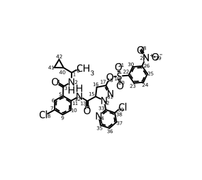 CC(NC(=O)c1cc(Cl)ccc1NC(=O)C1CC(OS(=O)(=O)c2cccc([N+](=O)[O-])c2)=NN1c1ncccc1Cl)C1CC1